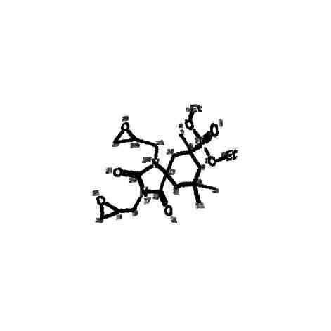 CCOP(=O)(OCC)C1(C)CC(C)(C)CC2(C1)C(=O)N(CC1CO1)C(=O)N2CC1CO1